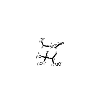 CC(C(=O)[O-])C(C)(O)C(=O)[O-].CC(C)[CH2][Sn+2][CH2]C(C)C